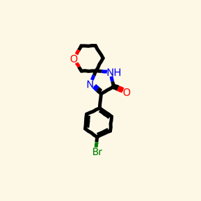 O=C1NC2(CCCOC2)N=C1c1ccc(Br)cc1